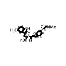 CCCCC(Cc1c[nH]c2ccc(C)cc12)NC(=O)c1cc2ccc(NCCNC)cc2s1